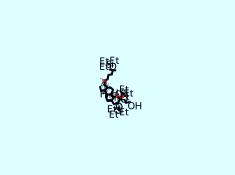 CC[Si](CC)(CC)O[C@@H]1CC2=CC=C3[C@@H]4CC[C@H]([C@H](C)CCCC(C)(C)O[Si](CC)(CC)CC)[C@@]4(C)CC[C@@H]3[C@@]2(C)[C@@H](O[Si](CC)(CC)CC)[C@@H]1OCCO